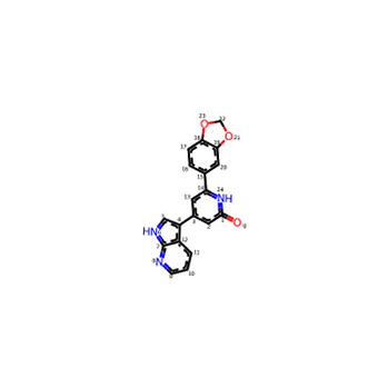 O=c1cc(-c2c[nH]c3ncccc23)cc(-c2ccc3c(c2)OCO3)[nH]1